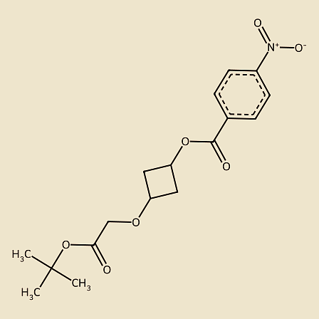 CC(C)(C)OC(=O)COC1CC(OC(=O)c2ccc([N+](=O)[O-])cc2)C1